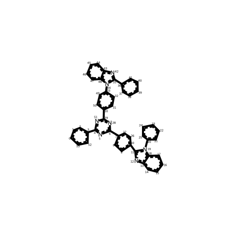 c1ccc(-c2nc(-c3ccc(-c4nc5ccccc5n4-c4ccccc4)cc3)nc(-c3ccc(-n4c(-c5ccccc5)nc5ccccc54)cc3)n2)cc1